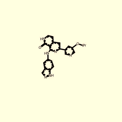 CC(C)Oc1cncc(-c2cc3cc[nH]c(=O)c3c(Nc3ccc4[nH]ncc4c3)n2)c1